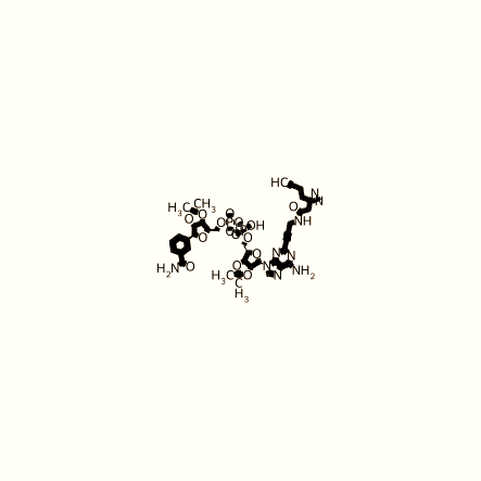 C#CCCC1(CC(=O)NCC#Cc2nc(N)c3ncn([C@H]4O[C@@H](COP(=O)(O)OP(=O)(O)OC[C@H]5O[C@@H](c6cccc(C(N)=O)c6)C6OC(C)(C)OC65)C5OC(C)(C)OC54)c3n2)N=N1